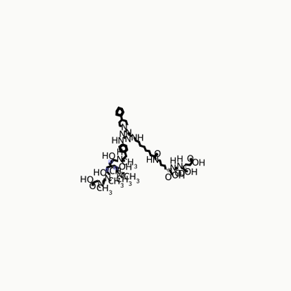 CCN(C)C/C(O)=C\C(C)(/C=C(/O)CNC(C)Cc1ccc(Nc2nc(NCCCCCCCC(=O)NCCCC[C@H](NC(=O)N[C@@H](CCC(=O)O)C(=O)O)C(=O)O)nc(N3CCC(c4ccccc4)CC3)n2)cc1)/C=C(/O)CN(C)CCN(C)CC(=O)O